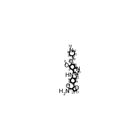 COc1cc2c(Nc3ccc(-c4occc4C(N)=O)cc3F)ncnc2cc1OCC1CCN(C)CC1